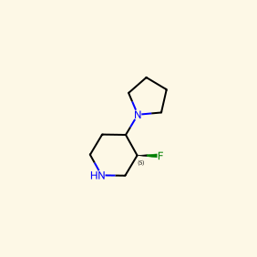 F[C@H]1CNCCC1N1CCCC1